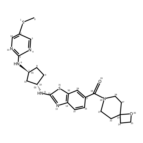 CSc1cnc(N[C@H]2CC[C@H](Nc3nc4ccc(C(=O)N5CCC6(CCO6)CC5)cc4s3)C2)nc1